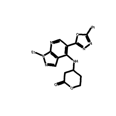 CCn1ncc2c(NC3CCOC(=O)C3)c(-c3nnc(C(C)C)o3)cnc21